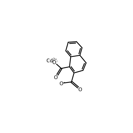 O=C([O-])c1ccc2ccccc2c1C(=O)[O-].[Cd+2]